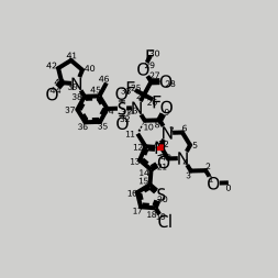 COCCN1CCN(C(=O)[C@H](Cc2cc(-c3ccc(Cl)s3)on2)N(C(F)(F)C(=O)OF)S(=O)(=O)c2cccc(N3CCCC3=O)c2C)CC1